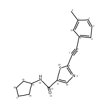 Cc1cccc(C#Cc2ncc(C(=O)NC3CCCC3)s2)c1